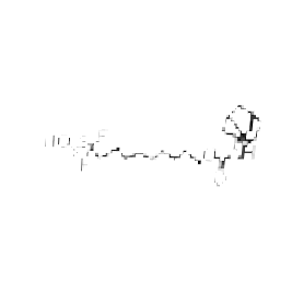 O=C(NC12CC3CC(CC(C3)C1)C2)OCCCCCCCCCC(F)(F)S(=O)(=O)O